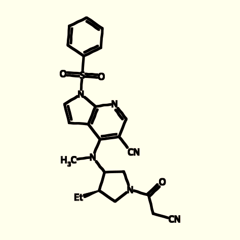 CC[C@@H]1CN(C(=O)CC#N)CC1N(C)c1c(C#N)cnc2c1ccn2S(=O)(=O)c1ccccc1